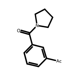 CC(=O)c1cccc(C(=O)N2CCCC2)c1